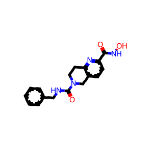 O=C(NO)c1ccc2c(n1)CCN(C(=O)NCc1ccccc1)C2